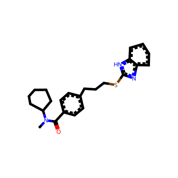 CN(C(=O)c1ccc(CCCSc2nc3ccccc3[nH]2)cc1)C1CCCCC1